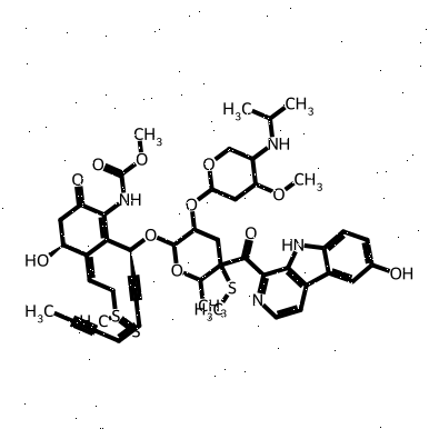 CC#C/C=C\C#C[C@H](OC1OC(C)C(SC)(C(=O)c2nccc3c2[nH]c2ccc(O)cc23)CC1OC1CC(OC)C(NC(C)C)CO1)C1=C(NC(=O)OC)C(=O)C[C@H](O)/C1=C/CS(C)=S